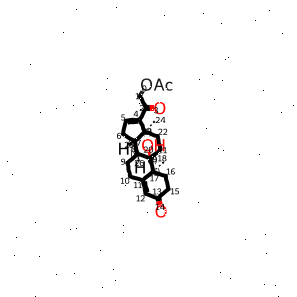 CC(=O)OCC(=O)C1=CC[C@H]2[C@@H]3CCC4=CC(=O)CC[C@]4(C)[C@@]3(O)CC[C@]12C